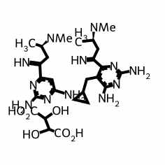 CN[C@H](C)CC(=N)c1cc(N)nc(N)n1.CN[C@H](C)CC(=N)c1nc(N)nc(N)c1CC1CC1.O=C(O)C(O)C(O)C(=O)O